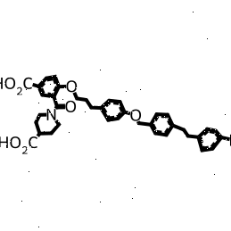 O=C(O)c1ccc(OCCCc2ccc(OCc3ccc(CCc4ccc(F)cc4)cc3)cc2)c(C(=O)N2CCC(C(=O)O)CC2)c1